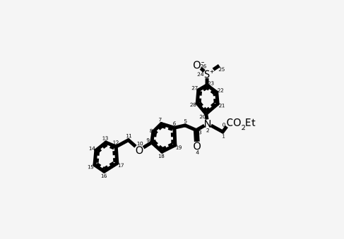 CCOC(=O)CN(C(=O)Cc1ccc(OCc2ccccc2)cc1)c1ccc([S+](C)[O-])cc1